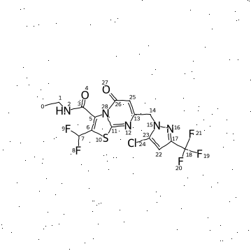 CCNC(=O)c1c(C(F)F)sc2nc(Cn3nc(C(F)(F)F)cc3Cl)cc(=O)n12